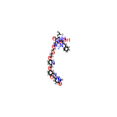 CC(C)C[C@H](NC(=O)[C@@H](O)[C@H](N)Cc1ccccc1)C(=O)NCCOCCOCCOc1ccc(COc2ccc3oc(-c4ccc(=O)n(C)n4)nc3c2)nc1